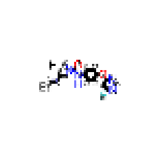 CC/C=C/CCN(C)C(=O)Nc1ccc(Oc2cc(F)ncn2)cc1